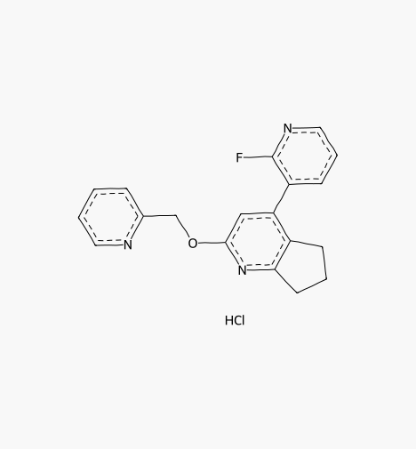 Cl.Fc1ncccc1-c1cc(OCc2ccccn2)nc2c1CCC2